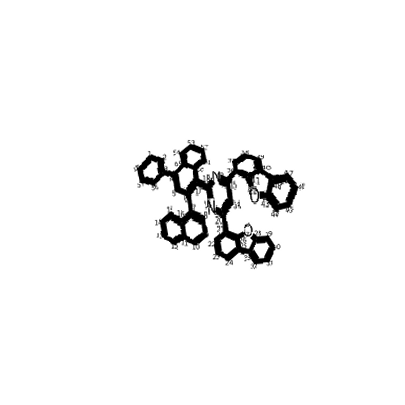 c1ccc(-c2cc(-c3cccc4ccccc34)c(-c3nc(-c4cccc5c4oc4ccccc45)cc(-c4cccc5c4oc4ccccc45)n3)c3ccccc23)cc1